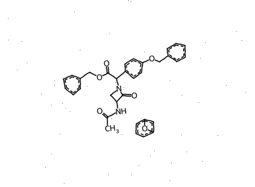 CC(=O)NC1CN(C(C(=O)OCc2ccccc2)c2ccc(OCc3ccccc3)cc2)C1=O.c1cc2cc(c1)O2